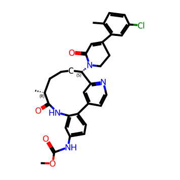 COC(=O)Nc1ccc2c(c1)NC(=O)[C@H](C)CCC[C@H](N1CCC(c3cc(Cl)ccc3C)=CC1=O)c1cc-2ccn1